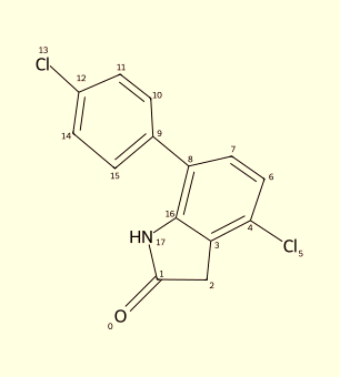 O=C1Cc2c(Cl)ccc(-c3ccc(Cl)cc3)c2N1